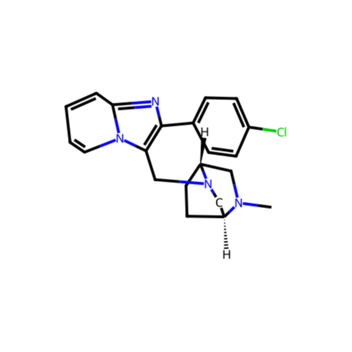 CN1C[C@H]2CC[C@H]1CN2Cc1c(-c2ccc(Cl)cc2)nc2ccccn12